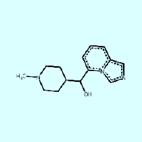 CN1CCC(C(O)c2cccc3cncn23)CC1